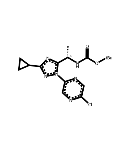 C[C@H](NC(=O)OC(C)(C)C)c1nc(C2CC2)nn1-c1cnc(Cl)cn1